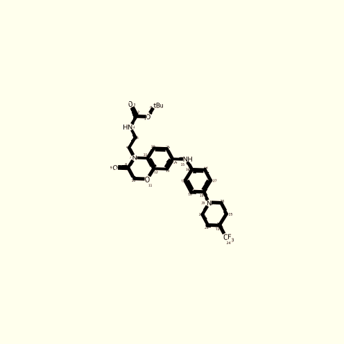 CC(C)(C)OC(=O)NCCN1C(=O)COc2cc(Nc3ccc(N4CCC(C(F)(F)F)CC4)cc3)ccc21